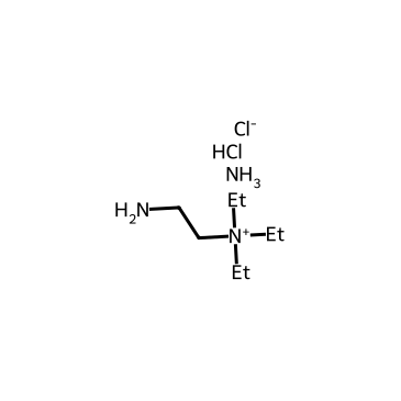 CC[N+](CC)(CC)CCN.Cl.N.[Cl-]